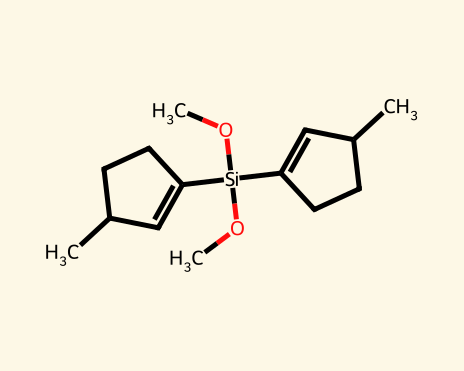 CO[Si](OC)(C1=CC(C)CC1)C1=CC(C)CC1